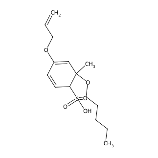 C=CCOC1=CC(C)(OCCCCC)C(S(=O)(=O)O)C=C1